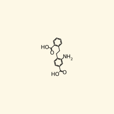 Nc1cc(C(=O)O)ccc1CCc1ccccc1C(=O)O